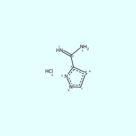 Cl.N=C(N)c1nncs1